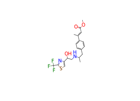 COC(=O)/C=C(\C)c1ccc(CC(C)NCC(O)c2csc(C(F)(F)F)n2)cc1